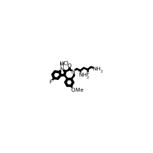 COc1ccc2c(c1)CN(C[C@H](N)CC(F)CN)C(=O)c1[nH]c3ccc(F)cc3c1-2.Cl